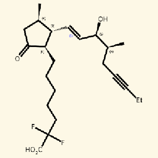 CCC#CC[C@H](C)[C@H](O)/C=C/[C@H]1[C@H](C)CC(=O)[C@@H]1CCCCCC(F)(F)C(=O)O